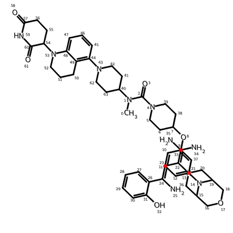 CN(C(=O)N1CCC(Oc2cccc(N3C4COCC3CN(C(/C=C(\N)c3ccccc3O)=C(N)N)C4)c2)CC1)C1CCN(c2cccc3c2CCCN3C2CCC(=O)NC2=O)CC1